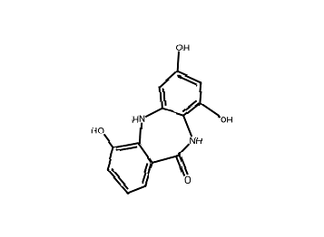 O=C1Nc2c(O)cc(O)cc2Nc2c(O)cccc21